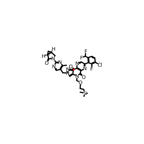 Cc1nc(N2C[C@H]3C[C@H]3C2=O)ncc1Cn1cc(N(COCC[Si](C)(C)C)C(=O)c2nc(-c3c(C(F)F)ccc(Cl)c3F)cnc2C=O)cn1